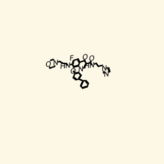 O=C(NCCCn1ccnc1)c1cn2c3c(c(NCCCN4CCOCC4)c(F)cc3c1=O)Oc1ccc(-c3ccccc3)cc1-2